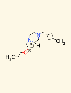 CCCO[C@@H]1C[C@H]2CN(C[C@H]3C[C@H](C)C3)CCN2C1